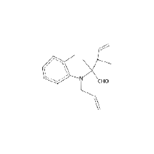 C=CCN(c1ccccc1C)C(C)(C=O)C(C)C=C